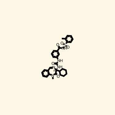 Cc1ccccc1S(=O)(=O)NC(=O)c1cccc(NC(=O)N[C@]2(C3CCCCC3)N=Cc3ccccc3N(C)C2=O)c1